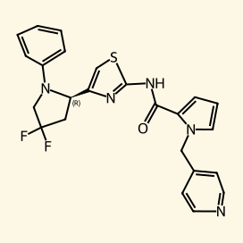 O=C(Nc1nc([C@H]2CC(F)(F)CN2c2ccccc2)cs1)c1cccn1Cc1ccncc1